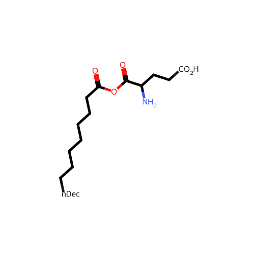 CCCCCCCCCCCCCCCCCC(=O)OC(=O)C(N)CCC(=O)O